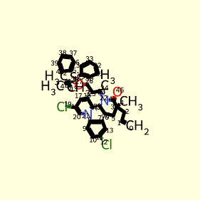 C=CCC1(C)C[C@H](c2cccc(Cl)c2)[C@@H](c2ccc(Cl)cn2)N([C@@H](C)CCO[Si](c2ccccc2)(c2ccccc2)C(C)(C)C)C1=O